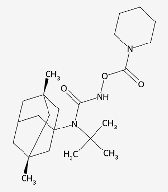 CC(C)(C)N(C(=O)NOC(=O)N1CCCCC1)C12CC3C[C@@](C)(C1)C[C@](C)(C3)C2